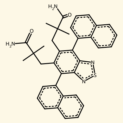 CC(C)(Cc1c(CC(C)(C)C(N)=O)c(-c2cccc3ccccc23)c2nsnc2c1-c1cccc2ccccc12)C(N)=O